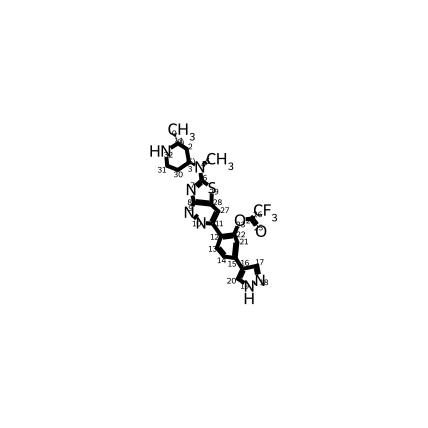 C[C@@H]1C[C@@H](N(C)c2nc3nnc(-c4ccc(-c5cn[nH]c5)cc4OC(=O)C(F)(F)F)cc3s2)CCN1